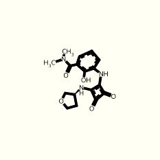 CN(C)C(=O)c1cccc(Nc2c(N[C@H]3CCOC3)c(=O)c2=O)c1O